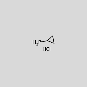 Cl.PC1CC1